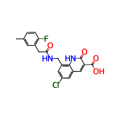 Cc1ccc(F)c(CC(=O)NCc2cc(Cl)cc3cc(C(=O)O)c(=O)[nH]c23)c1